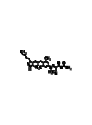 CCCCCc1n[nH]c2ccc(Cc3c(C)cc(N(CC)N=C(C#N)C(=O)OC(N)=O)cc3C)cc12